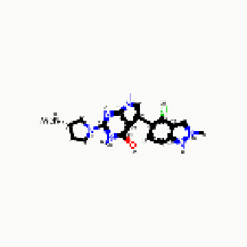 CN[C@H]1CCN(c2nc3[nH]cc(-c4ccc5nn(C)cc5c4Cl)c3c(=O)n2C)C1